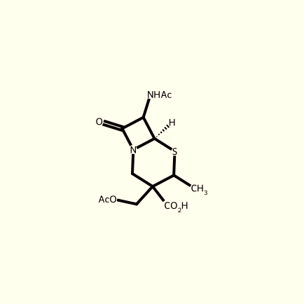 CC(=O)NC1C(=O)N2CC(COC(C)=O)(C(=O)O)C(C)S[C@H]12